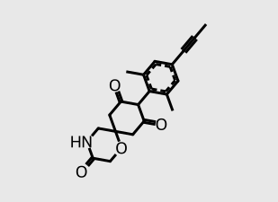 CC#Cc1cc(C)c(C2C(=O)CC3(CNC(=O)CO3)CC2=O)c(C)c1